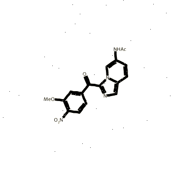 COc1cc(C(=O)c2ncc3ccc(NC(C)=O)cn23)ccc1[N+](=O)[O-]